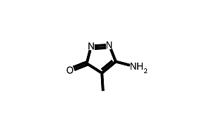 CC1=C(N)N=NC1=O